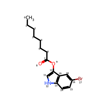 CCCCCCCC(=O)Oc1c[nH]c2ccc(Br)cc12